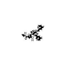 C=CNC(=O)[C@@H]1C[C@@H](O)[C@H](n2cnc3c(NCc4cc(C)ccn4)nc(-c4cncc(F)c4)nc32)O1